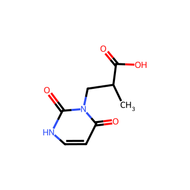 CC(Cn1c(=O)cc[nH]c1=O)C(=O)O